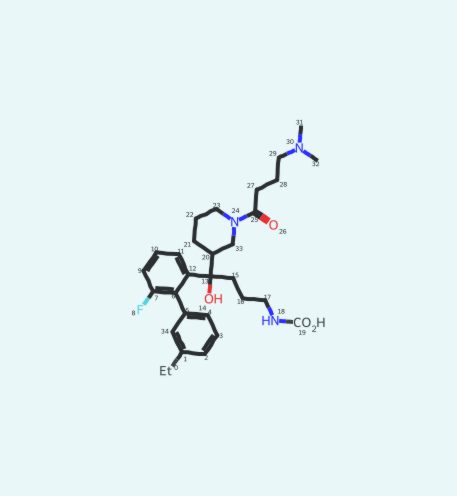 CCc1cccc(-c2c(F)cccc2C(O)(CCCNC(=O)O)C2CCCN(C(=O)CCCN(C)C)C2)c1